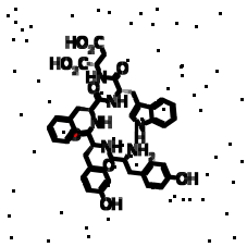 N[C@@H](Cc1ccc(O)cc1)C(=O)N[C@@H](Cc1ccc(O)cc1)C(=O)N[C@@H](Cc1ccccc1)C(=O)N[C@@H](Cc1c[nH]c2ccccc12)C(=O)N[C@@H](CC(=O)O)C(=O)O